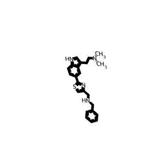 CN(C)CCc1c[nH]c2ccc(-c3nc(CNCc4ccccc4)cs3)cc12